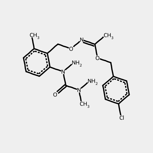 CC(=NOCc1c(C)cccc1N(N)C(=O)N(C)N)OCc1ccc(Cl)cc1